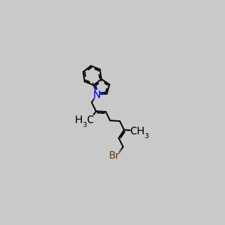 CC(=CCBr)CCC=C(C)Cn1ccc2ccccc21